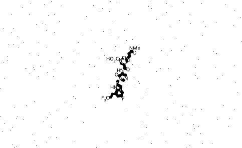 CNC(=O)/C=C/CC[C@@H](CN(C)C(=O)O)C(=O)Nc1cncn(Cc2cc3cc(F)cc(CCC(F)(F)F)c3[nH]2)c1=O